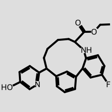 CCOC(=O)C1CCCCC(c2ccc(O)cn2)c2cccc(c2)-c2cc(F)ccc2N1